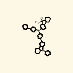 CC1(C)C2=C(CCC=C2)c2ccc(N(c3ccc(-c4ccccc4)cc3)c3ccc(-c4ccc5c(c4)c4c(n5-c5ccccc5)CCC=C4)cc3)cc21